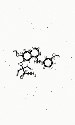 CCC(CC)(Oc1cc2c(Nc3cccc(OC)c3)ncnc2cc1OC)C(N)=O